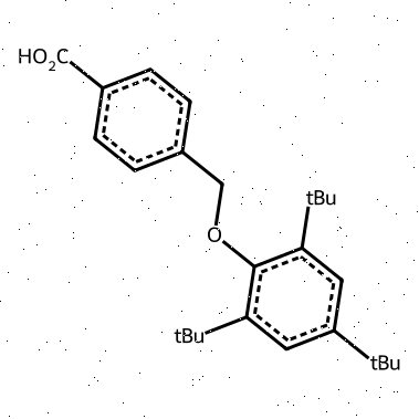 CC(C)(C)c1cc(C(C)(C)C)c(OCc2ccc(C(=O)O)cc2)c(C(C)(C)C)c1